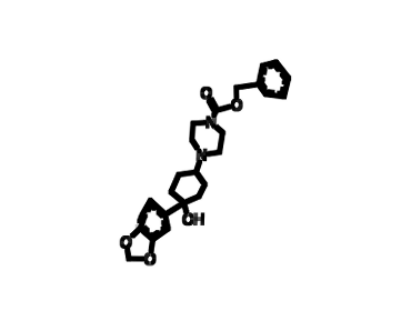 O=C(OCc1ccccc1)N1CCN(C2CCC(O)(c3ccc4c(c3)OCO4)CC2)CC1